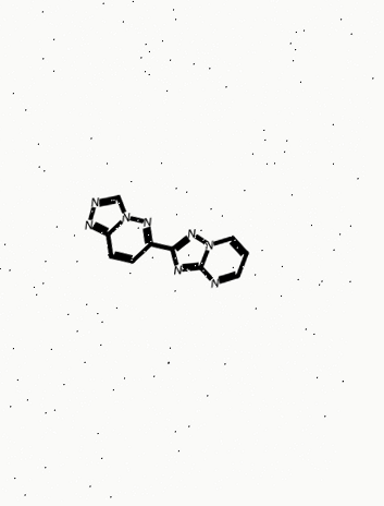 c1cnc2nc(-c3ccc4nncn4n3)nn2c1